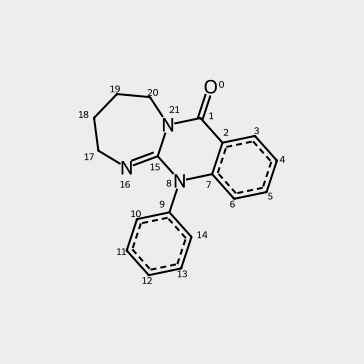 O=C1c2ccccc2N(c2ccccc2)C2=NCCCCN12